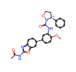 COc1ccc(-c2ccc3nc(NC(C)=O)oc3c2)cc1NC(=O)N1OCC[C@H]1c1ccccc1